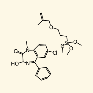 C=C(C)COCCC[Si](OC)(OC)OC.CN1C(=O)C(O)N=C(c2ccccc2)c2cc(Cl)ccc21